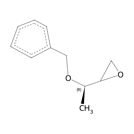 C[C@@H](OCc1ccccc1)C1CO1